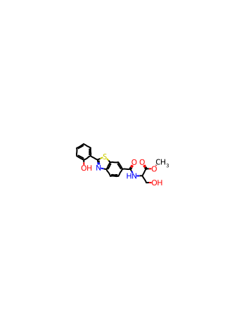 COC(=O)C(CO)NC(=O)c1ccc2nc(-c3ccccc3O)sc2c1